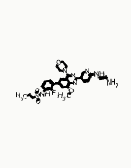 CCCS(=O)(=O)Nc1cccc(-c2cc(OC)c3nc(-c4ccc(NCCN)nc4)nc(N4CCOCC4)c3c2)c1F